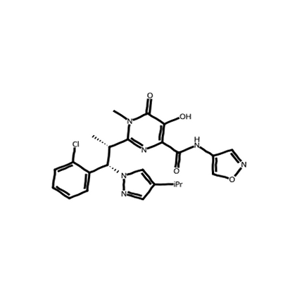 CC(C)c1cnn([C@H](c2ccccc2Cl)[C@H](C)c2nc(C(=O)Nc3cnoc3)c(O)c(=O)n2C)c1